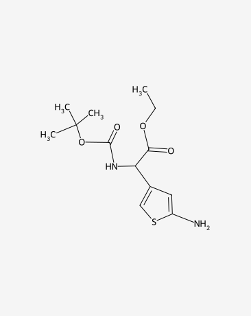 CCOC(=O)C(NC(=O)OC(C)(C)C)c1csc(N)c1